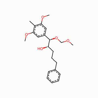 COCO[C@H](c1cc(OC)c(C)c(OC)c1)[C@H](O)CCCc1ccccc1